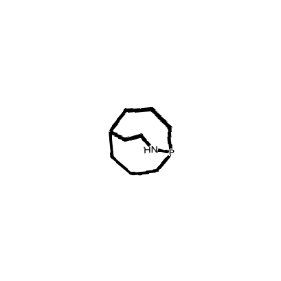 C1CC2CCCP(C1)NCC2